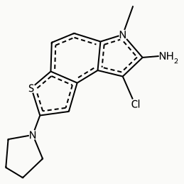 Cn1c(N)c(Cl)c2c3cc(N4CCCC4)sc3ccc21